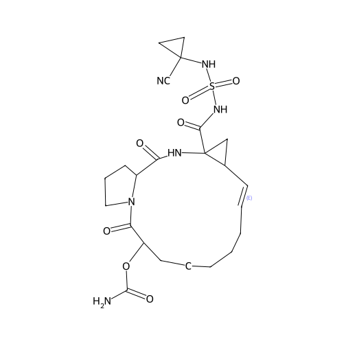 N#CC1(NS(=O)(=O)NC(=O)C23CC2/C=C/CCCCCC(OC(N)=O)C(=O)N2CCCC2C(=O)N3)CC1